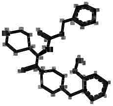 COc1ccccc1CN1CCN(C(=O)[C@H](NC(=O)OCc2ccccc2)C2CCNCC2)CC1